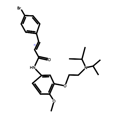 COc1ccc(NC(=O)/C=C/c2ccc(Br)cc2)cc1OCCN(C(C)C)C(C)C